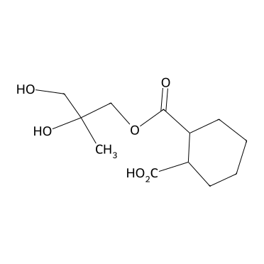 CC(O)(CO)COC(=O)C1CCCCC1C(=O)O